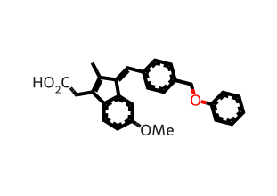 COc1ccc2c(c1)/C(=C\c1ccc(COc3ccccc3)cc1)C(C)=C2CC(=O)O